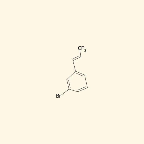 FC(F)(F)C=Cc1cccc(Br)c1